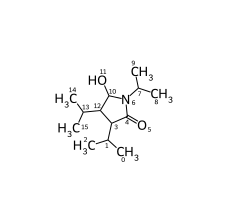 CC(C)C1C(=O)N(C(C)C)C(O)C1C(C)C